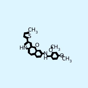 COc1ccc(CNC2=CC3C(=O)C4=CC(c5ccc(C)s5)=CNC4=CC=C3C=C2)c(OC)c1